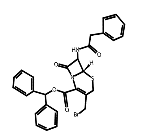 O=C(Cc1ccccc1)NC1C(=O)N2C(C(=O)OC(c3ccccc3)c3ccccc3)=C(CBr)CS[C@@H]12